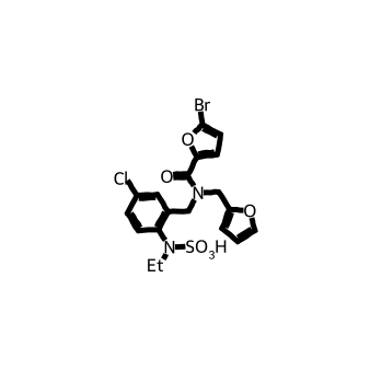 CCN(c1ccc(Cl)cc1CN(Cc1ccco1)C(=O)c1ccc(Br)o1)S(=O)(=O)O